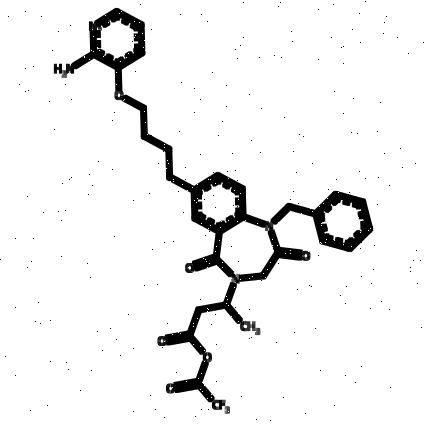 CC(CC(=O)OC(=O)C(F)(F)F)N1CC(=O)N(Cc2ccccc2)c2ccc(CCCCOc3cccnc3N)cc2C1=O